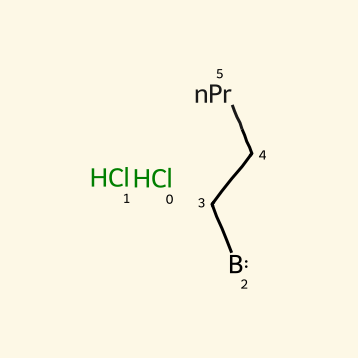 Cl.Cl.[B]CCCCC